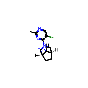 Cc1ncc(F)c(N2C[C@H]3CC[C@@H](C2)[C@@H]3N)n1